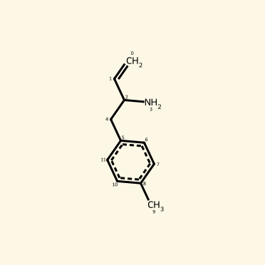 C=CC(N)Cc1ccc(C)cc1